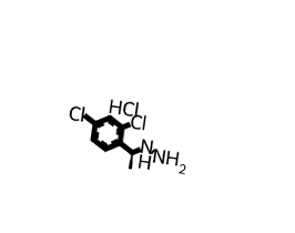 C[C@H](NN)c1ccc(Cl)cc1Cl.Cl